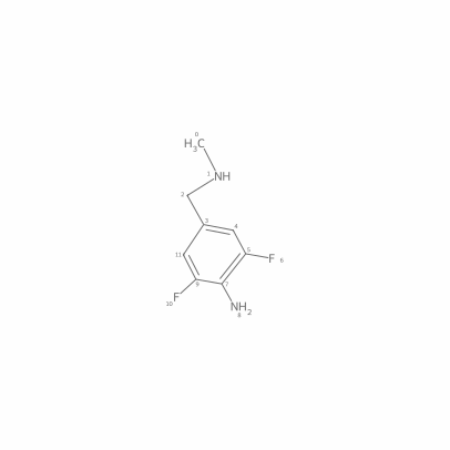 CNCc1cc(F)c(N)c(F)c1